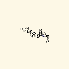 CCNC(=O)Nc1cccc(Nc2ccc3c(c2)NC(=O)/C3=C\c2ccc[nH]2)c1